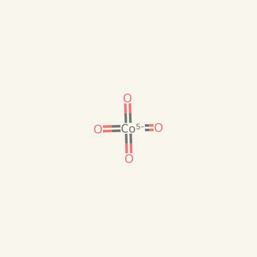 [O]=[Co-5](=[O])(=[O])=[O]